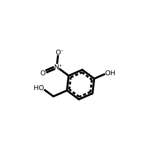 O=[N+]([O-])c1cc(O)ccc1CO